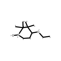 CCOC1CCN([O])C(C)(C)C1(C)C